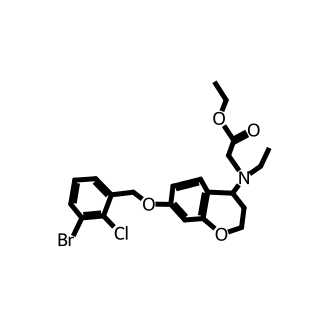 CCOC(=O)CN(CC)C1CCOc2cc(OCc3cccc(Br)c3Cl)ccc21